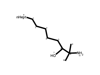 CCCCCCCCCCCCC(O)C(C)(C)N